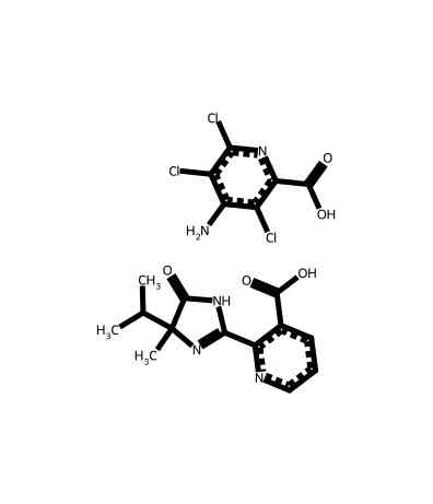 CC(C)C1(C)N=C(c2ncccc2C(=O)O)NC1=O.Nc1c(Cl)c(Cl)nc(C(=O)O)c1Cl